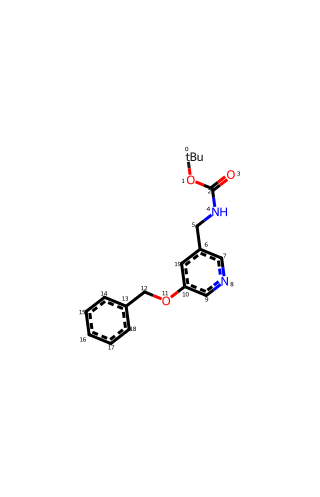 CC(C)(C)OC(=O)NCc1cncc(OCc2ccccc2)c1